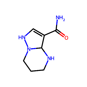 NC(=O)C1=CNN2CCCNC12